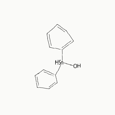 [OH][SnH]([c]1ccccc1)[c]1ccccc1